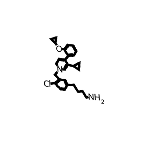 NCCCCc1ccc(Cl)c(CN2C=C(C3CC3)C(c3ccccc3OC3CC3)=CC2)c1